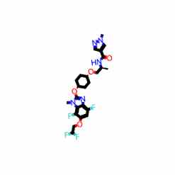 C[C@@H](CO[C@H]1CC[C@H](Oc2nc3c(F)cc(OCC(F)F)c(F)c3n2C)CC1)NC(=O)c1cnn(C)c1